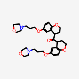 O=C(C1CCOc2ccc(OCCCN3CCOCC3)cc21)C1CCOc2ccc(OCCCN3CCOCC3)cc21